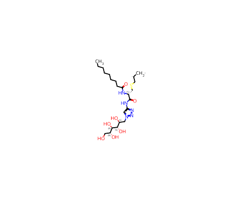 [CH2][CH]CSC[C@@H](NC(=O)CCCCCCCC)C(=O)Nc1cn(C[C@H](O)[C@H](O)[C@H](O)[C@H](O)CO)nn1